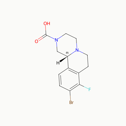 O=C(O)N1CCN2CCc3c(ccc(Br)c3F)[C@@H]2C1